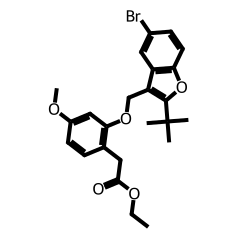 CCOC(=O)Cc1ccc(OC)cc1OCc1c(C(C)(C)C)oc2ccc(Br)cc12